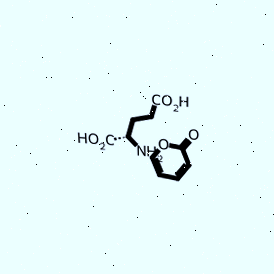 N[C@@H](CCC(=O)O)C(=O)O.O=c1cccco1